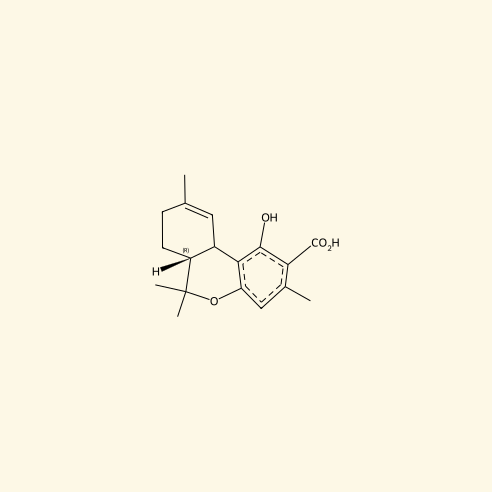 CC1=CC2c3c(cc(C)c(C(=O)O)c3O)OC(C)(C)[C@@H]2CC1